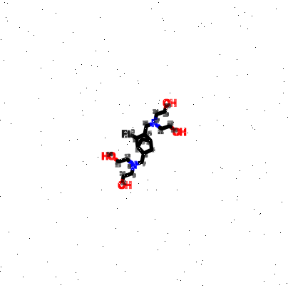 CCC1C2CC(CC2CN(CCO)CCO)C1CN(CCO)CCO